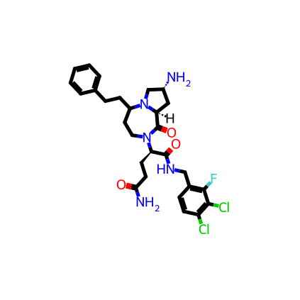 NC(=O)CC[C@H](C(=O)NCc1ccc(Cl)c(Cl)c1F)N1CCC(CCc2ccccc2)N2C[C@H](N)C[C@H]2C1=O